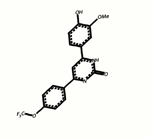 COc1cc(-c2cc(-c3ccc(OC(F)(F)F)cc3)nc(=O)[nH]2)ccc1O